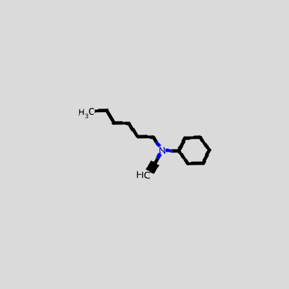 C#CN(CCCCCC)C1CCCCC1